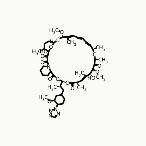 COC1CC(C[C@@H](C)[C@@H]2CC(=O)[C@H](C)/C=C(\C)[C@@H](O)C(OC)C(=O)C(C)C[C@H](C)/C=C/C=C/C=C(\C)[C@@H](OC)C[C@@H]3CCC(C)C(O)(O3)C(=O)C(=O)N3CCCCC3C(=O)O2)CCC1n1ncnn1